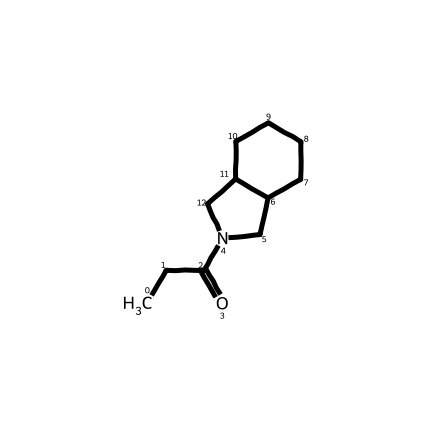 CCC(=O)N1CC2CCCCC2C1